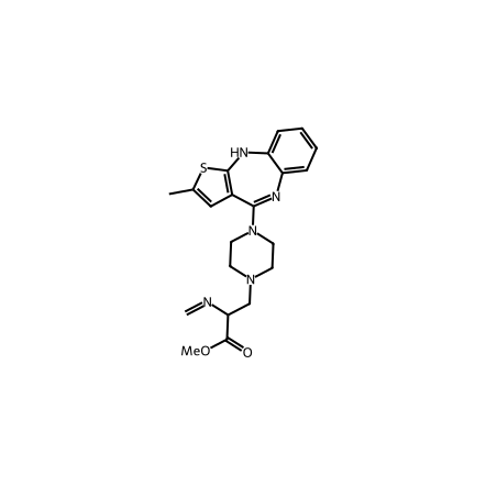 C=NC(CN1CCN(C2=Nc3ccccc3Nc3sc(C)cc32)CC1)C(=O)OC